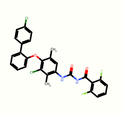 Cc1cc(NC(=O)NC(=O)c2c(F)cccc2F)c(C)c(Cl)c1Oc1ccccc1-c1ccc(Cl)cc1